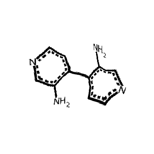 Nc1cnccc1-c1ccncc1N